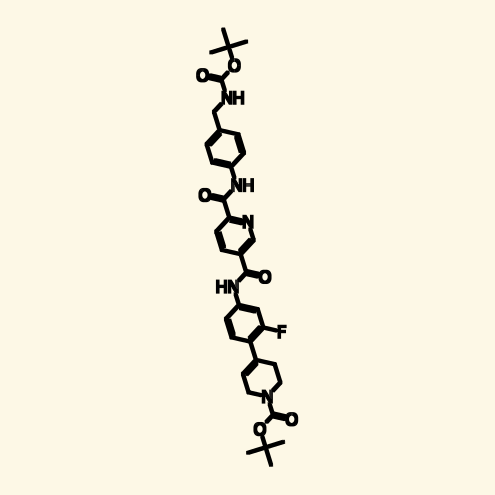 CC(C)(C)OC(=O)NCc1ccc(NC(=O)c2ccc(C(=O)Nc3ccc(C4=CCN(C(=O)OC(C)(C)C)CC4)c(F)c3)cn2)cc1